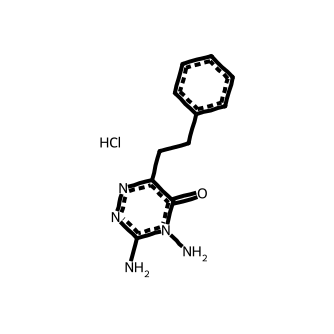 Cl.Nc1nnc(CCc2ccccc2)c(=O)n1N